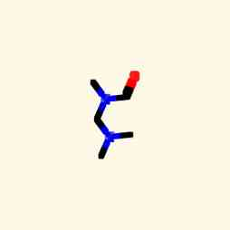 CN(C)CN(C)C=O